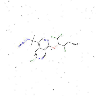 CSCC(F)C(Oc1ncc(C(C)(C)N=[N+]=[N-])c2cc(Cl)ncc12)C(F)F